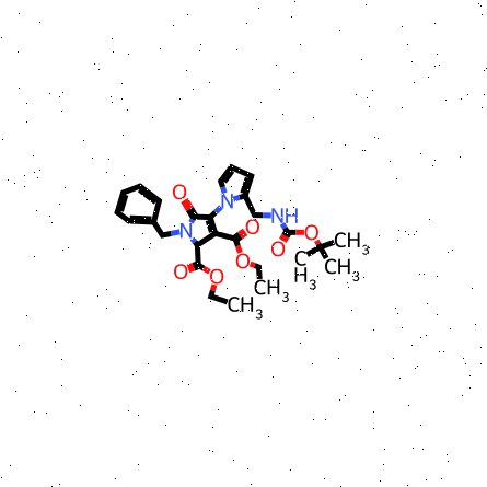 CCOC(=O)C1=C(n2cccc2CNC(=O)OC(C)(C)C)C(=O)N(Cc2ccccc2)C1C(=O)OCC